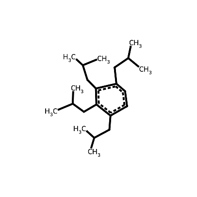 CC(C)Cc1ccc(CC(C)C)c(CC(C)C)c1CC(C)C